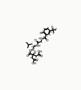 CC(C)C[C@H](NC(=O)CNC(=O)c1cc(C(F)(F)F)ccc1F)B1OC(=O)C(CC(=O)O)(CC(=O)O)O1